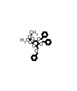 CCOC1(C)OC2OC(COCc3ccccc3)C(OCc3ccccc3)C(OCc3ccccc3)C2O1